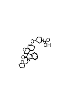 O=C(O)N1CC[C@@H](OC2=CC3=C(CC2)C2(CO3)C(=O)N(C[C@H]3CCCO3)c3ccccc32)C1